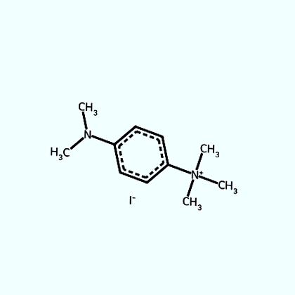 CN(C)c1ccc([N+](C)(C)C)cc1.[I-]